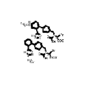 CCCCC(=O)N(Cc1ccc(-c2ccccc2-c2nnn[nH]2)cc1)[C@H](C(=O)[O-])C(C)C.CCCCC(=O)N(Cc1ccc(-c2ccccc2-c2nnn[nH]2)cc1)[C@H](C(=O)[O-])C(C)C.O.O.O.[Na+].[Na+]